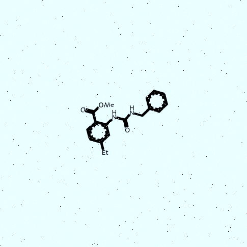 CCc1ccc(C(=O)OC)c(NC(=O)NCc2ccccc2)c1